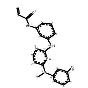 C=CC(=O)Nc1cccc(Nc2ncnc(N(C)c3cccc(Cl)c3)n2)c1